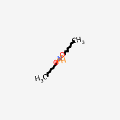 CCCCCCCCOP=NPOCCCCCCCC